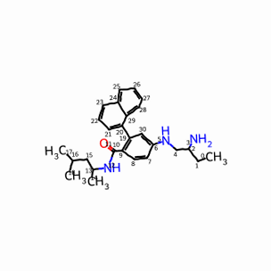 CCC(N)CNc1ccc(C(=O)NC(C)CC(C)C)c(-c2cccc3ccccc23)c1